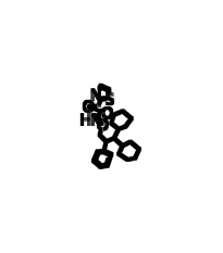 O=S(=O)(NOCC(c1ccccc1)C(C1CCCCC1)C1CCCCC1)c1nccs1